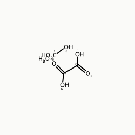 O.O=C(O)C(=O)O.O=C(O)O